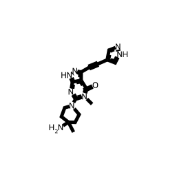 Cn1c(N2CCC(C)(N)CC2)nc2[nH]nc(C#Cc3cn[nH]c3)c2c1=O